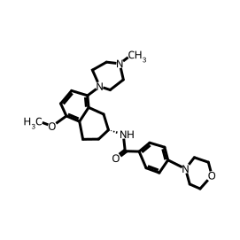 COc1ccc(N2CCN(C)CC2)c2c1CC[C@@H](NC(=O)c1ccc(N3CCOCC3)cc1)C2